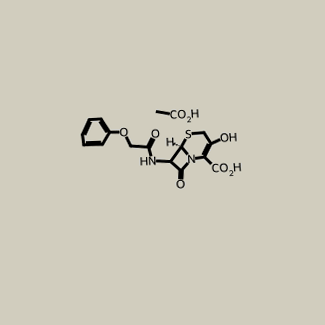 CC(=O)O.O=C(COc1ccccc1)NC1C(=O)N2C(C(=O)O)=C(O)CS[C@H]12